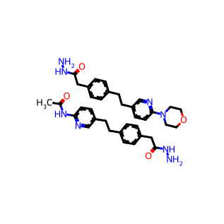 CC(=O)Nc1ccc(CCc2ccc(CC(=O)NN)cc2)cn1.NNC(=O)Cc1ccc(CCc2ccc(N3CCOCC3)nc2)cc1